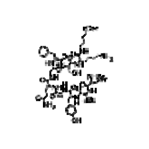 CCCCCCCCCCCCCCNC(=O)[C@H](CCCCN)NC(=O)[C@H](CO)NC(=O)[C@H](Cc1ccccc1)NC(=O)CNC(=O)[C@H](CCC(N)=O)NC(=O)[C@H](C)NC(=O)[C@H](Cc1ccc(O)cc1)NC(=O)[C@@H](NC(=O)[C@H](CC(C)C)NC(C)=O)[C@@H](C)CC